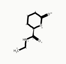 CCNC(=O)[C@H]1CCCC(=O)O1